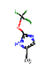 Cc1cnc(OC(F)(F)F)[nH]1